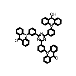 O=c1c2ccccc2n(-c2cccc(-c3nc(-c4cccc(N5c6ccccc6C(O)c6ccccc65)c4)nc(-c4cccc(-n5c6ccccc6c(=O)c6ccccc65)c4)n3)c2)c2ccccc12